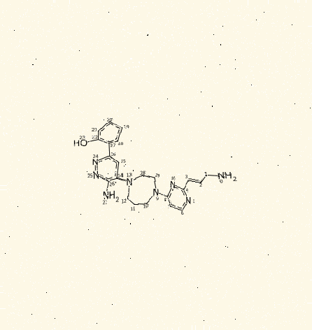 NC/C=C/c1nccc(N2CCCN(c3cc(-c4ccccc4O)nnc3N)CC2)n1